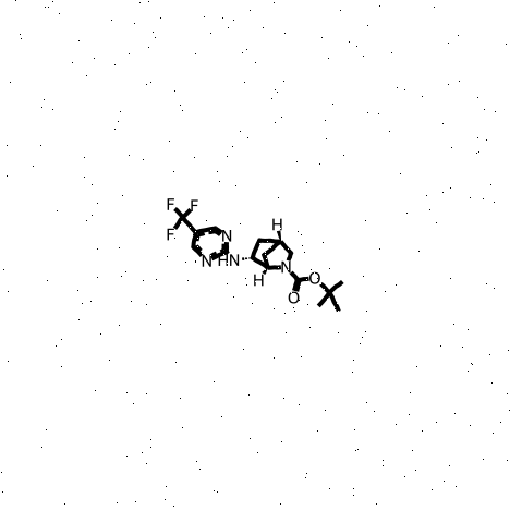 CC(C)(C)OC(=O)N1C[C@H]2C[C@@H](Nc3ncc(C(F)(F)F)cn3)[C@@H]1C2